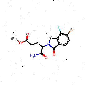 C[C@@H]1c2c(ccc(Br)c2F)C(=O)N1C(CCC(=O)OC(C)(C)C)C(N)=O